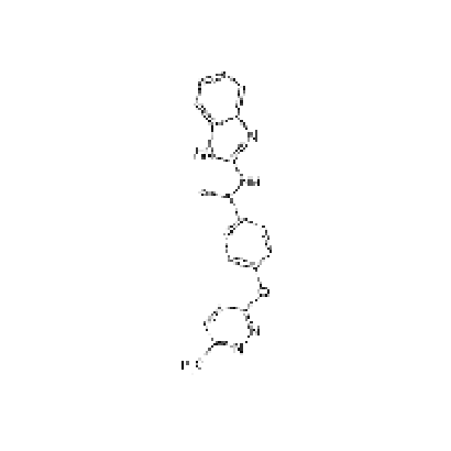 Cc1ccc(Oc2ccc(C(=O)Nc3nc4ccccc4[nH]3)cc2)nn1